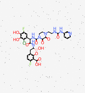 O=C(NCCN1CCN(C(=O)NC(C(=O)NC2Cc3ccc(F)c(C(=O)O)c3OB2O)c2cc(F)c(O)c(O)c2Cl)C(=O)C1=O)Nc1cccnc1